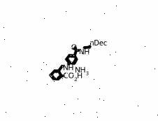 CCCCCCCCCCCCNC(=O)c1ccc(NCc2ccccc2C(=O)O)cc1.N